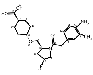 Cc1cc(CC(=O)N2C[C@@H](F)C[C@H]2CO[C@H]2CC[C@H](C(=O)O)CC2)ccc1N